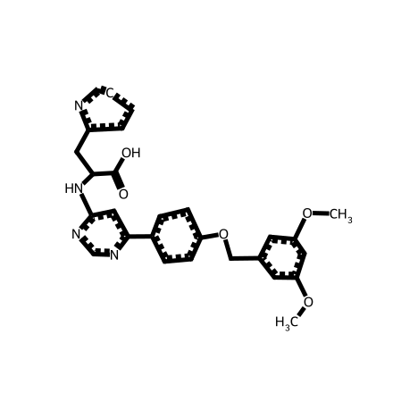 COc1cc(COc2ccc(-c3cc(NC(Cc4ccccn4)C(=O)O)ncn3)cc2)cc(OC)c1